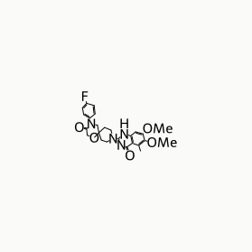 COc1cc2[nH]c(N3CCC4(CC3)CN(c3ccc(F)cc3)C(=O)CO4)nc(=O)c2c(C)c1OC